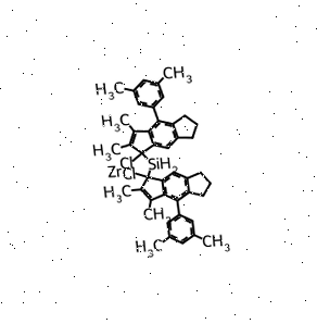 CC1=C(C)C(Cl)([SiH2]C2(Cl)C(C)=C(C)c3c2cc2c(c3-c3cc(C)cc(C)c3)CCC2)c2cc3c(c(-c4cc(C)cc(C)c4)c21)CCC3.[Zr]